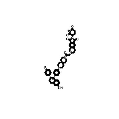 O=C1CC[C@@H](N2C(=O)c3cc4c(cc3C2=O)CN(CC(=O)N2CCC3(CC2)CCN(c2ccc([C@@H]5c6ccc(O)cc6CC[C@@H]5c5ccc(F)cc5)cc2)CC3)CC4)C(=O)N1